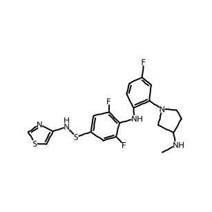 CNC1CCN(c2cc(F)ccc2Nc2c(F)cc(SNc3cscn3)cc2F)C1